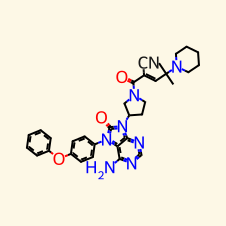 CC(C)(C=C(C#N)C(=O)N1CCC(n2c(=O)n(-c3ccc(Oc4ccccc4)cc3)c3c(N)ncnc32)C1)N1CCCCC1